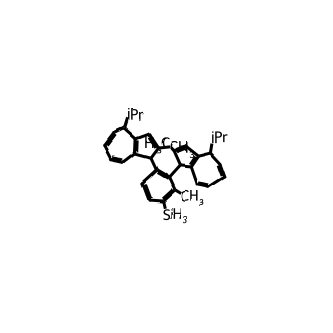 CC1=CC2=C(C=CC=CC2C(C)C)C1c1ccc([SiH3])c(C)c1C1C(C)=CC2=C1C=CC=CC2C(C)C